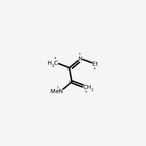 C=C(NC)/C(C)=N\CC